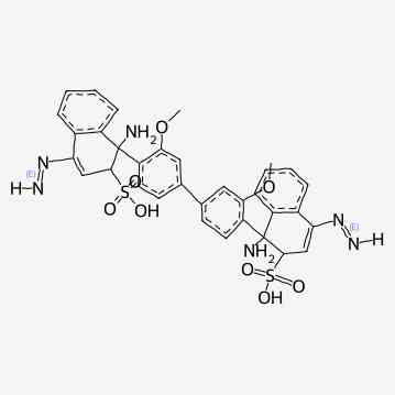 [H]/N=N/C1=CC(S(=O)(=O)O)C(N)(c2ccc(-c3ccc(C4(N)c5ccccc5C(/N=N/[H])=CC4S(=O)(=O)O)c(OC)c3)cc2OC)c2ccccc21